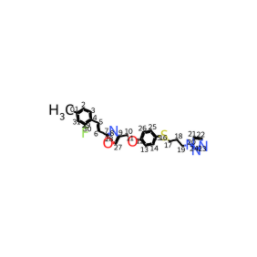 Cc1ccc(/C=C/c2nc(COc3ccc(SCCCn4ccnn4)cc3)co2)c(F)c1